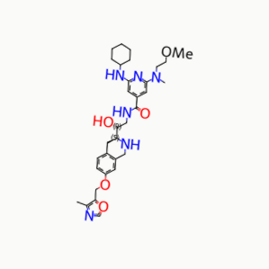 COCCN(C)c1cc(C(=O)NC[C@@H](O)[C@@H]2Cc3ccc(OCc4ocnc4C)cc3CN2)cc(NC2CCCCC2)n1